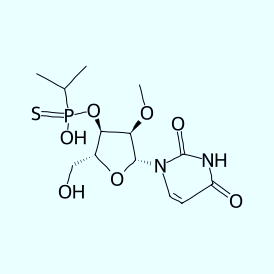 CO[C@@H]1[C@H](OP(O)(=S)C(C)C)[C@@H](CO)O[C@H]1n1ccc(=O)[nH]c1=O